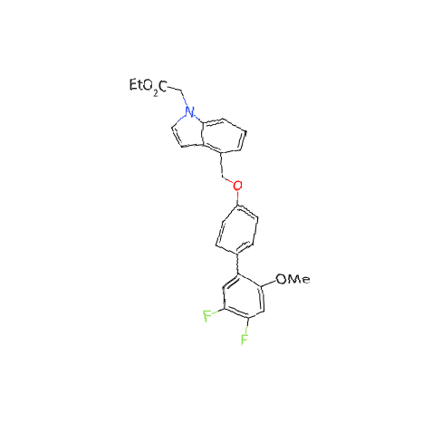 CCOC(=O)Cn1ccc2c(COc3ccc(-c4cc(F)c(F)cc4OC)cc3)cccc21